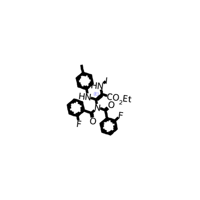 CCOC(=O)/C(NI)=C(/Nc1ccc(C)cc1)N(C(=O)c1ccccc1F)C(=O)c1ccccc1F